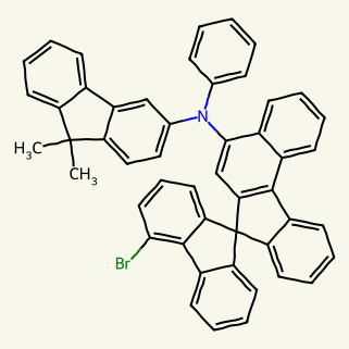 CC1(C)c2ccccc2-c2cc(N(c3ccccc3)c3cc4c(c5ccccc35)-c3ccccc3C43c4ccccc4-c4c(Br)cccc43)ccc21